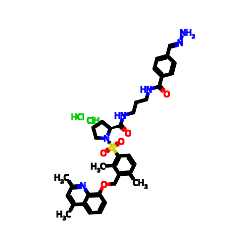 Cc1cc(C)c2cccc(OCc3c(C)ccc(S(=O)(=O)N4CCC[C@H]4C(=O)NCCCNC(=O)c4ccc(C=NN)cc4)c3C)c2n1.Cl.Cl